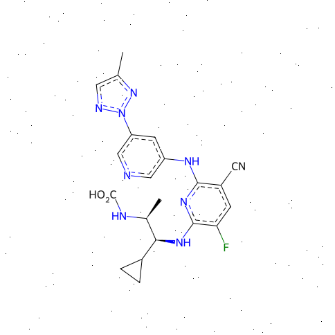 Cc1cnn(-c2cncc(Nc3nc(N[C@@H](C4CC4)[C@H](C)NC(=O)O)c(F)cc3C#N)c2)n1